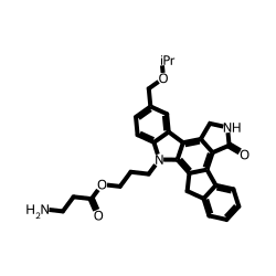 CC(C)OCc1ccc2c(c1)c1c3c(c4c(c1n2CCCOC(=O)CCN)Cc1ccccc1-4)C(=O)NC3